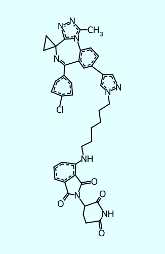 Cc1nnc2n1-c1ccc(-c3cnn(CCCCCCNc4cccc5c4C(=O)N(C4CCC(=O)NC4=O)C5=O)c3)cc1C(c1ccc(Cl)cc1)=NC21CC1